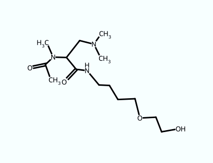 CC(=O)N(C)C(CN(C)C)C(=O)NCCCCOCCO